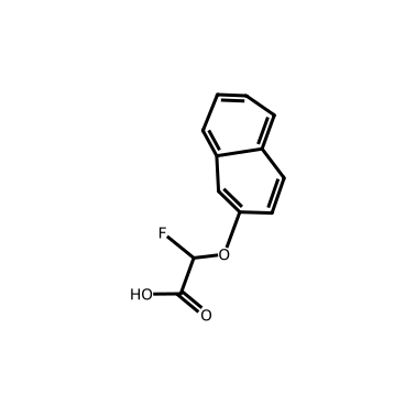 O=C(O)C(F)Oc1ccc2ccccc2c1